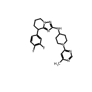 Cc1cc(N2CCC(Nc3nc4n(n3)CCCC4c3ccc(F)c(F)c3)CC2)ncn1